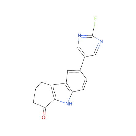 O=C1CCCc2c1[nH]c1ccc(-c3cnc(F)nc3)cc21